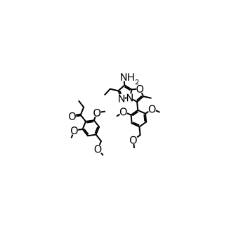 CCC(=O)c1c(OC)cc(COC)cc1OC.CCc1nn2c(-c3c(OC)cc(COC)cc3OC)c(C)oc2c1N